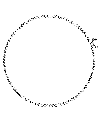 ON=C1CCCCCCCCCCCCCCCCCCCCCCCCCCCCCCCCCCCCCCCCCCCCCCCCCCCCCCCCCCCCCCCCCCCCCCCCCCCCCCCCCCCCCCCCCCCCCCCCCCC1=NO